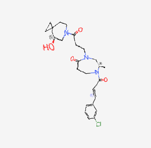 C[C@@H]1CN(CCC(=O)N2CCC3(CC3)[C@H](O)C2)C(=O)CCN1C(=O)/C=C/c1cccc(Cl)c1